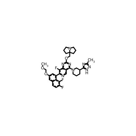 COCOc1cc(-c2ncc3c(N4CCCC(c5nc(C)n[nH]5)C4)nc(OCC45CCCN4CCC5)nc3c2F)c2c(F)c(F)ccc2c1